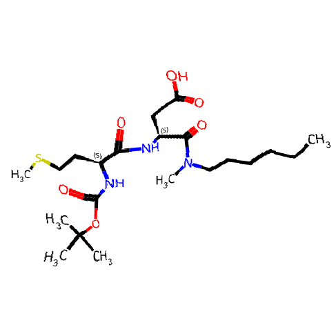 CCCCCCN(C)C(=O)[C@H](CC(=O)O)NC(=O)[C@H](CCSC)NC(=O)OC(C)(C)C